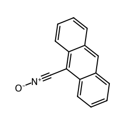 [O-][N+]#Cc1c2ccccc2cc2ccccc12